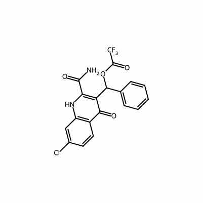 NC(=O)c1[nH]c2cc(Cl)ccc2c(=O)c1C(OC(=O)C(F)(F)F)c1ccccc1